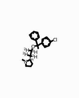 [2H]C([2H])(OC(C)(c1ccccc1)c1ccc(Cl)cc1)C([2H])([2H])[C@H]1CCCN1C